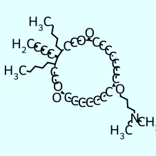 C=C=C=C=C1C(CCCCC)CCOC(=O)CCCCCCCC(OCCCCN(C)CC)CCCCCCCC(=O)OCCC1CCCCC